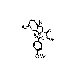 COc1ccc(S(=O)(=O)N2[C@H](C(=O)NO)C[C@@H]3CCN(C(C)=O)C[C@@H]32)cc1